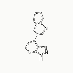 c1ccc2ncc(-c3cccc4[nH]ncc34)cc2c1